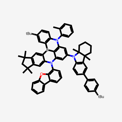 Cc1ccccc1N1c2ccc(C(C)(C)C)cc2B2c3cc4c(cc3N(c3cccc5c3oc3ccccc35)c3cc(N5c6ccc(-c7ccc(C(C)(C)C)cc7)cc6C6(C)CCCCC56C)cc1c32)C(C)(C)CC4(C)C